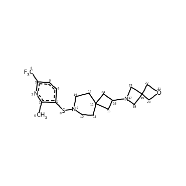 Cc1nc(C(F)(F)F)ccc1SN1CCC2(CC1)CC(N1CC3(COC3)C1)C2